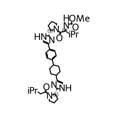 COC(=O)N[C@H](C(=O)N1CCC[C@H]1c1nc(-c2ccc(C3CCC(c4c[nH]c([C@@H]5CCCN5C(=O)CC(C)C)n4)CC3)cc2)c[nH]1)C(C)C